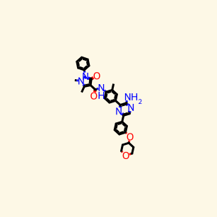 Cc1cc(-c2nc(-c3cccc(OC4CCOCC4)c3)cnc2N)ccc1NC(=O)c1c(C)n(C)n(-c2ccccc2)c1=O